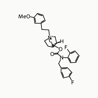 COc1cccc(CC[N+]23CCC(CC2)[C@@H](OC(=O)N(Cc2ccc(F)cc2)c2ccccc2F)C3)c1